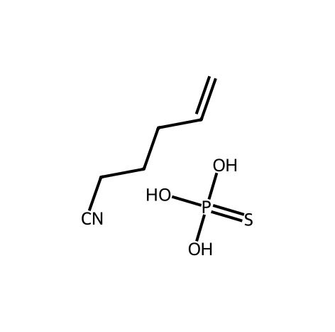 C=CCCCC#N.OP(O)(O)=S